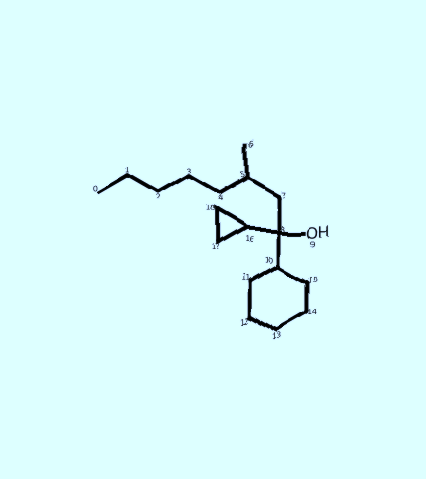 CCCCCC(C)CC(O)(C1CCCCC1)C1CC1